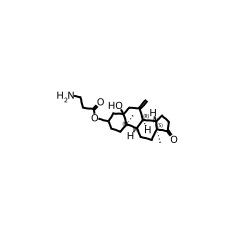 C=C1CC2(O)CC(OC(=O)CCN)CC[C@]2(C)[C@@H]2CC[C@]3(C)C(=O)CC[C@H]3[C@H]12